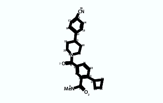 CNC(=O)c1cc(C(=O)N2CCC(c3ccc(C#N)cc3)CC2)ccc1C1CCC1